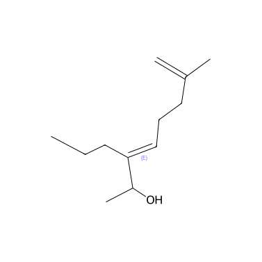 C=C(C)CC/C=C(\CCC)C(C)O